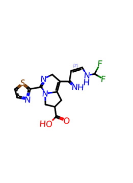 N=C(/C=C\NC(F)F)C1=C2CC(C(=O)O)CN2C(c2nccs2)=NC1